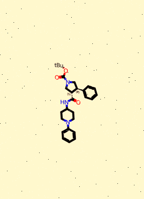 CC(C)(C)OC(=O)N1C[C@@H](C(=O)NC2CCN(c3ccccc3)CC2)[C@H](c2ccccc2)C1